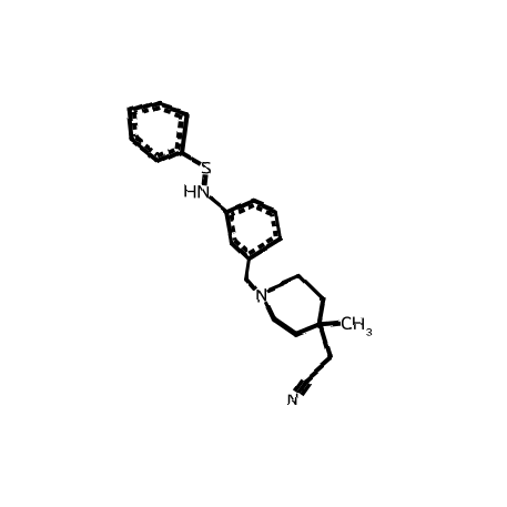 CC1(CC#N)CCN(Cc2cccc(NSc3ccccc3)c2)CC1